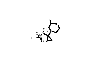 CN(C1(N2CCOC(Cl)C2)CC1)S(C)(=O)=O